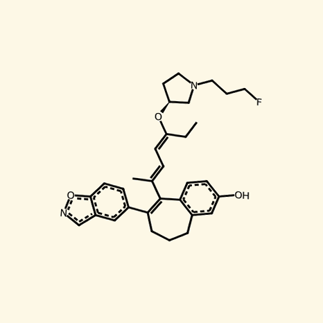 CC/C(=C\C=C(/C)C1=C(c2ccc3oncc3c2)CCCc2cc(O)ccc21)O[C@H]1CCN(CCCF)C1